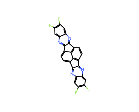 Fc1cc2nc3c(nc2cc1F)-c1ccc2c4c(ccc-3c14)-c1nc3cc(F)c(F)cc3nc1-2